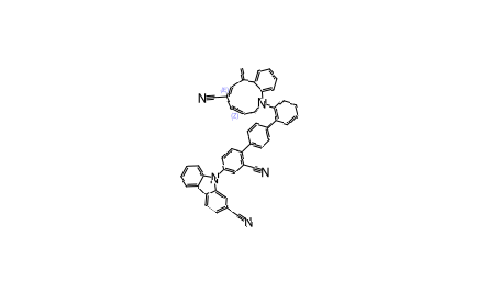 C=C1/C=C(C#N)\C=C/CN(C2=C(c3ccc(-c4ccc(-n5c6ccccc6c6ccc(C#N)cc65)cc4C#N)cc3)C=CCC2)c2ccccc21